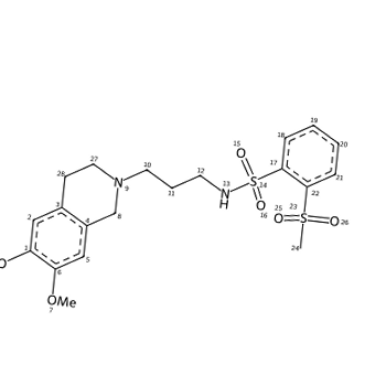 COc1cc2c(cc1OC)CN(CCCNS(=O)(=O)c1ccccc1S(C)(=O)=O)CC2